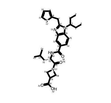 CCC(CC)n1c(Cc2cccs2)nc2cc(C(=O)N[C@@H](CC(C)C)C(=O)N3CC(C(=O)O)C3)ccc21